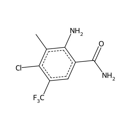 Cc1c(N)c(C(N)=O)cc(C(F)(F)F)c1Cl